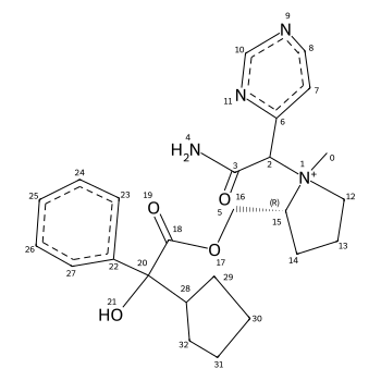 C[N+]1(C(C(N)=O)c2ccncn2)CCC[C@@H]1COC(=O)C(O)(c1ccccc1)C1CCCC1